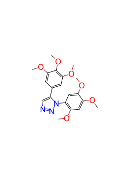 COc1cc(OC)c(-n2nncc2-c2cc(OC)c(OC)c(OC)c2)cc1OC